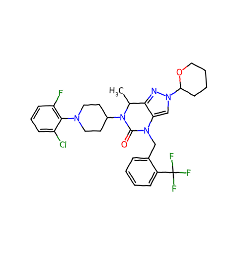 CC1c2nn(C3CCCCO3)cc2N(Cc2ccccc2C(F)(F)F)C(=O)N1C1CCN(c2c(F)cccc2Cl)CC1